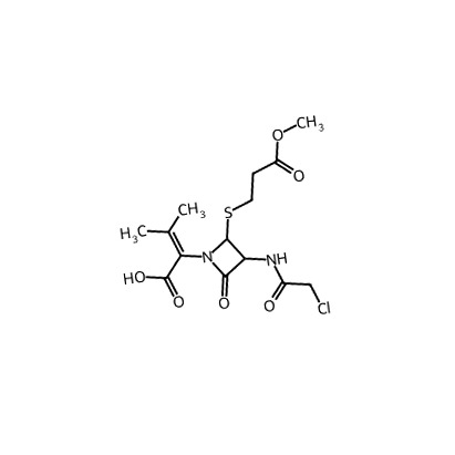 COC(=O)CCSC1C(NC(=O)CCl)C(=O)N1C(C(=O)O)=C(C)C